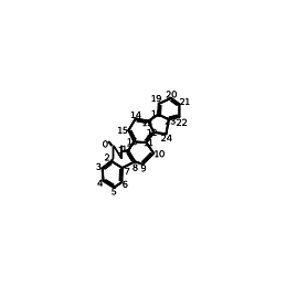 Cn1c2ccccc2c2ccc3c4c(ccc3c21)-c1ccccc1C4